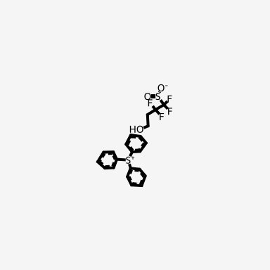 O=S([O-])C(F)(F)C(F)(F)CCO.c1ccc([S+](c2ccccc2)c2ccccc2)cc1